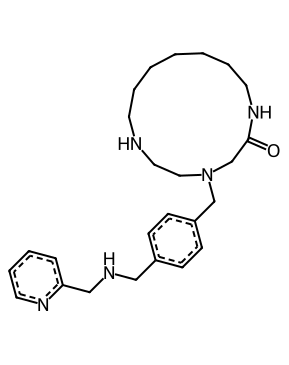 O=C1CN(Cc2ccc(CNCc3ccccn3)cc2)CCNCCCCCCCN1